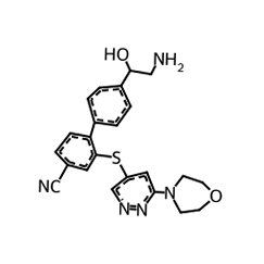 N#Cc1ccc(-c2ccc(C(O)CN)cc2)c(Sc2cnnc(N3CCOCC3)c2)c1